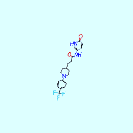 O=C(CCC1CCN(c2ccc(C(F)(F)F)cc2)CC1)Nc1ccc(=O)[nH]c1